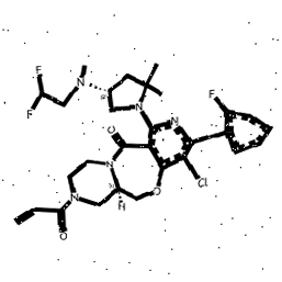 C=CC(=O)N1CCN2C(=O)c3c(N4C[C@H](N(C)CC(F)F)CC4(C)C)nc(-c4ccccc4F)c(Cl)c3OC[C@H]2C1